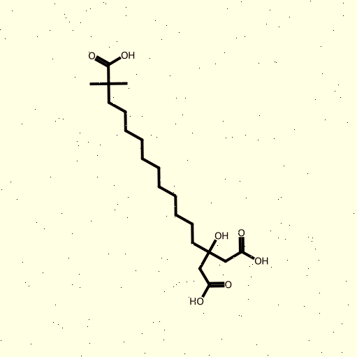 CC(C)(CCCCCCCCCCCC(O)(CC(=O)O)CC(=O)O)C(=O)O